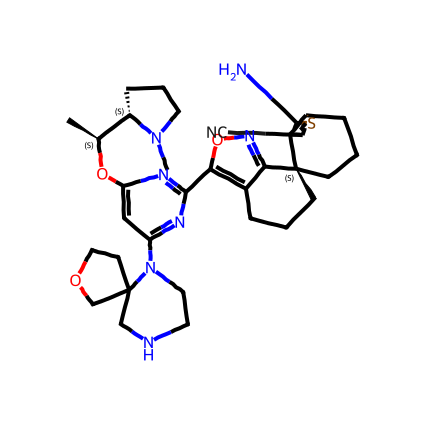 C[C@H](Oc1cc(N2CCNCC23CCOC3)nc(-c2onc3c2CCC[C@@]32CCCc3sc(N)c(C#N)c32)n1)[C@@H]1CCCN1C